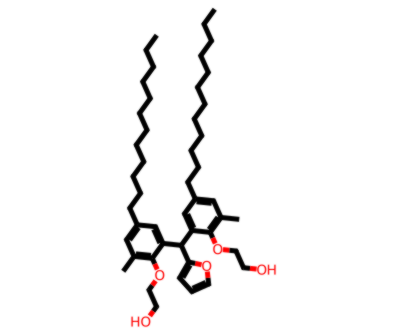 CCCCCCCCCCCCc1cc(C)c(OCCO)c(C(c2ccco2)c2cc(CCCCCCCCCCCC)cc(C)c2OCCO)c1